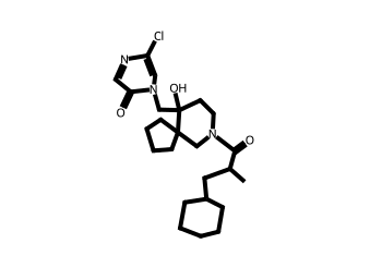 CC(CC1CCCCC1)C(=O)N1CCC(O)(Cn2cc(Cl)ncc2=O)C2(CCCC2)C1